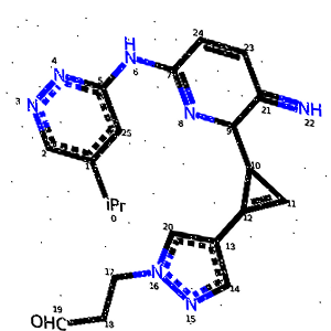 CC(C)c1cnnc(NC2=NC(C3C=C3c3cnn(CCC=O)c3)C(=N)C=C2)c1